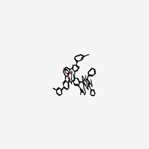 Cc1cccc(-c2ccc3c(c2)c2ccccc2n3-c2cc(C#N)c(-c3nc(-c4ccccc4)nc(-c4ccccc4)n3)cc2-n2c3ccccc3c3cc(-c4cccc(C)c4)ccc32)c1